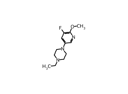 CCN1CCN(c2cnc(OC)c(F)c2)CC1